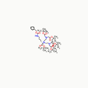 CC(C)(C)OC(=O)CN(CCN(CCN(CC(=O)OC(C)(C)C)CC(=O)OC(C)(C)C)[C@@H](CCCCNC(=O)OCc1ccccc1)C(=O)OC(C)(C)C)CC(=O)OC(C)(C)C